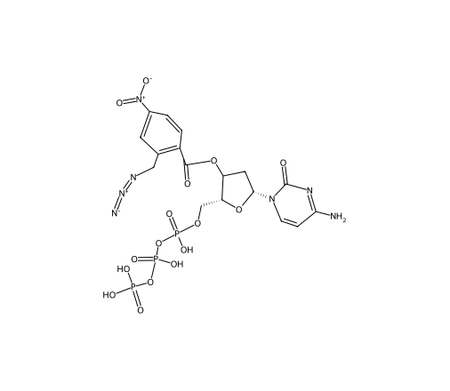 [N-]=[N+]=NCc1cc([N+](=O)[O-])ccc1C(=O)OC1C[C@H](n2ccc(N)nc2=O)O[C@@H]1COP(=O)(O)OP(=O)(O)OP(=O)(O)O